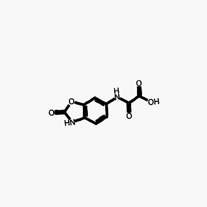 O=C(O)C(=O)Nc1ccc2[nH]c(=O)oc2c1